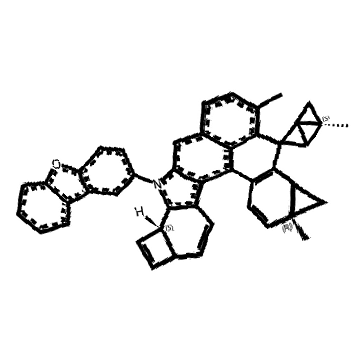 Cc1ccc2cc3c(c4c(n3-c3ccc5oc6ccccc6c5c3)[C@H]3C=CC3C=C4)c3c2c1C1(C2=C3C=C[C@@]3(C)CC23)C2C13C[C@@]23C